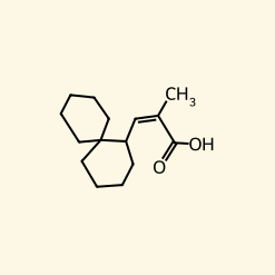 CC(=CC1CCCCC12CCCCC2)C(=O)O